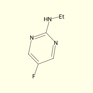 CCNc1ncc(F)cn1